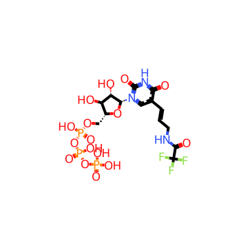 O=C(NC/C=C/c1cn([C@@H]2O[C@H](COP(=O)(O)OP(=O)(O)OP(=O)(O)O)C(O)[C@@H]2O)c(=O)[nH]c1=O)C(F)(F)F